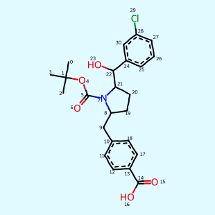 CC(C)(C)OC(=O)N1C(Cc2ccc(C(=O)O)cc2)CCC1C(O)c1cccc(Cl)c1